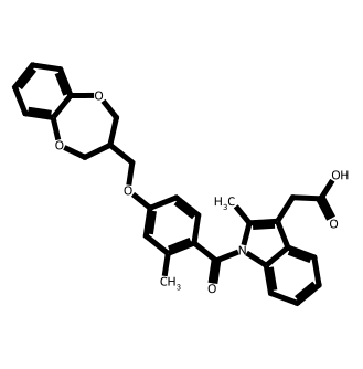 Cc1cc(OCC2COc3ccccc3OC2)ccc1C(=O)n1c(C)c(CC(=O)O)c2ccccc21